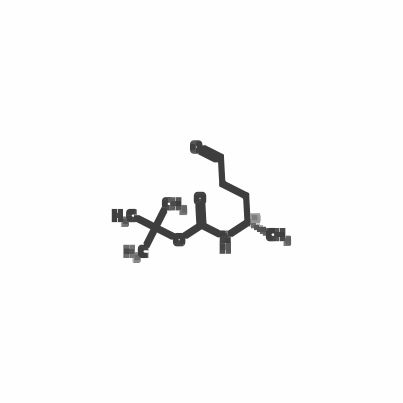 C[C@@H](CCC=O)NC(=O)OC(C)(C)C